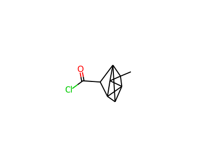 CC12C34C(C(=O)Cl)C56C3C51C462